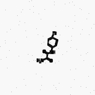 CCc1ccc(NC(=O)C(N)=O)cc1